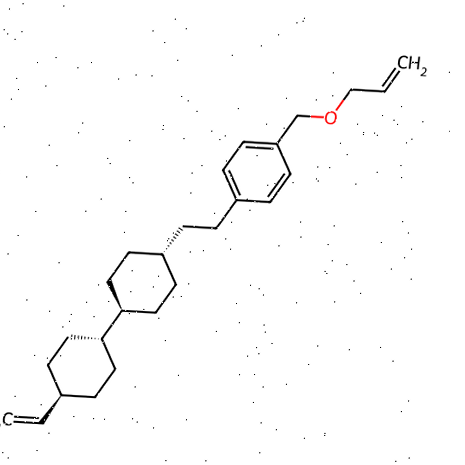 C=CCOCc1ccc(CC[C@H]2CC[C@H]([C@H]3CC[C@H](C=C)CC3)CC2)cc1